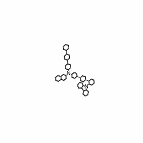 c1ccc(-c2ccc(-c3ccc(N(c4ccc(-c5ccc(-c6ccccc6-n6c7ccccc7c7ccccc76)cc5)cc4)c4ccc5ccccc5c4)cc3)cc2)cc1